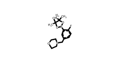 CC1(C)OB(c2cc(CN3CCOCC3)ccc2F)OC1(C)C